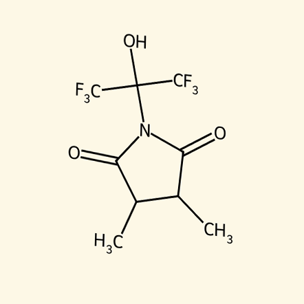 CC1C(=O)N(C(O)(C(F)(F)F)C(F)(F)F)C(=O)C1C